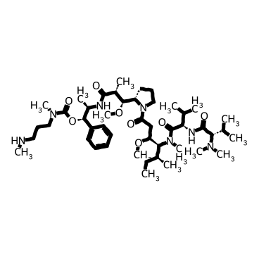 CC[C@H](C)[C@@H](C(CC(=O)N1CCC[C@H]1[C@H](OC)[C@@H](C)C(=O)N[C@H](C)[C@@H](OC(=O)N(C)CCCNC)c1ccccc1)OC)N(C)C(=O)[C@@H](NC(=O)[C@H](C(C)C)N(C)C)C(C)C